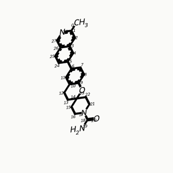 Cc1cc2cc(-c3ccc4c(c3)CCC3(CCN(C(N)=O)CC3)O4)ccc2cn1